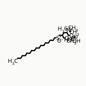 CCCCCCCCCCCCCCCCCC[S+]([O-])CC(COC)CC(COP(=O)(O)O)[N+](C)(C)C